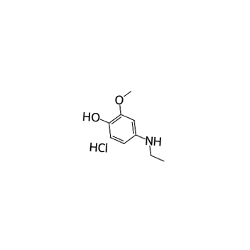 CCNc1ccc(O)c(OC)c1.Cl